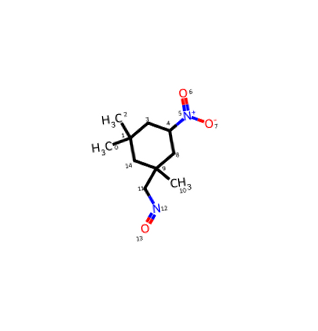 CC1(C)CC([N+](=O)[O-])CC(C)(CN=O)C1